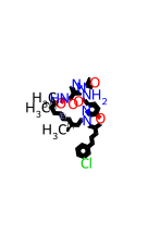 CC[C@@H](C/C=C/C[C@H](C)[C@@H](C)ONC(=O)c1cnn(C2COC2)c1)CCN1CC(CCCc2cccc(Cl)c2)COc2ccc(C(N)=O)nc21